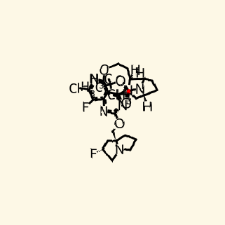 CC(C)(C)OC(=O)N1[C@@H]2CC[C@H]1[C@H]1CCOc3nc(Cl)c(F)c4nc(OC[C@@]56CCCN5C[C@H](F)C6)nc(c34)N1C2